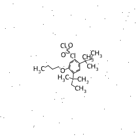 CCCCOc1ccc(C(C)(C)CC)cc1C(C)(C)CC.O=S(=O)(Cl)Cl